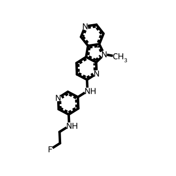 Cn1c2ccncc2c2ccc(Nc3cncc(NCCF)c3)nc21